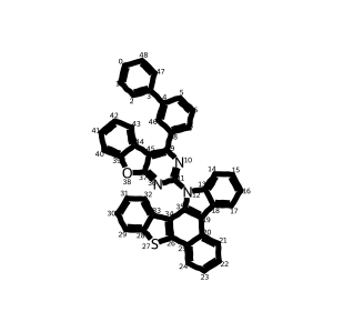 c1ccc(-c2cccc(-c3nc(-n4c5ccccc5c5c6ccccc6c6sc7ccccc7c6c54)nc4oc5ccccc5c34)c2)cc1